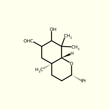 CC(C)[C@@H]1CC[C@@]2(C)CC(C=O)C(O)C(C)(C)[C@@H]2O1